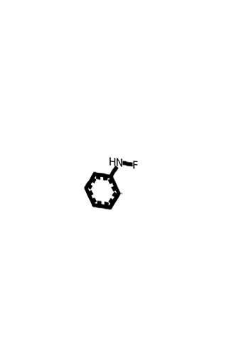 FNc1[c]cccc1